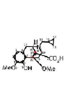 COc1ccc2c(c1O)[C@]13CCN(CC4CC4)[C@H](C2)C1C=C(C(=O)O)C(OC)C3